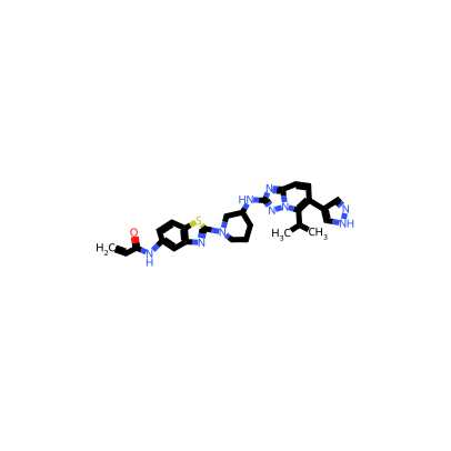 C=CC(=O)Nc1ccc2sc(N3CCCC(Nc4nc5ccc(-c6cn[nH]c6)c(C(C)C)n5n4)C3)nc2c1